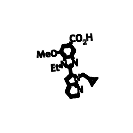 CCn1c(-c2cc3cccnc3n2CC2CC2)nc2cc(C(=O)O)cc(OC)c21